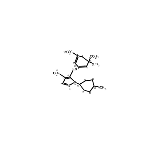 CC1(C(=O)O)C=CC=C(C(=O)O)C1.CC1CCC(n2ncc([N+](=O)[O-])c2C#N)CC1